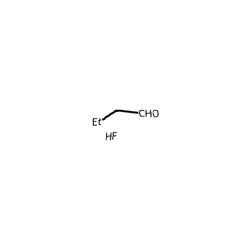 CCCC=O.F